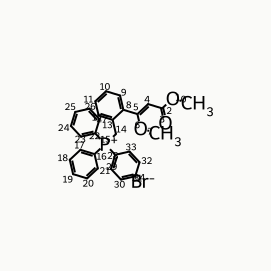 COC(=O)C=C(OC)c1ccccc1C[P+](c1ccccc1)(c1ccccc1)c1ccccc1.[Br-]